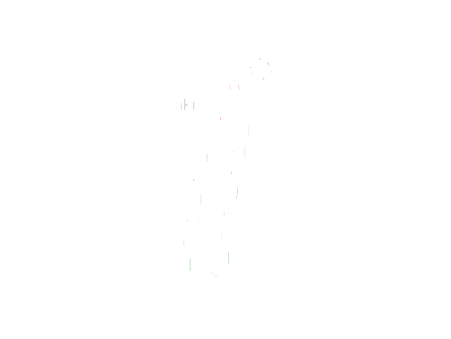 CC(C)C(C)CC(COC(Cl)C(Cl)C(Cl)C(Cl)C(Cl)C(Cl)C(Cl)C(Cl)C(Cl)C(Cl)C(Cl)C(Cl)C(Cl)C(Cl)C(C)C)OCc1ccccc1